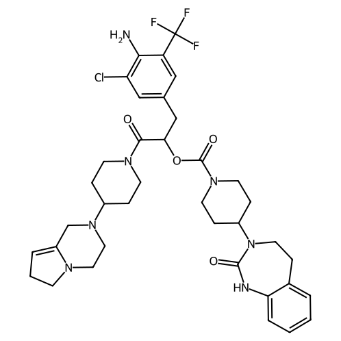 Nc1c(Cl)cc(CC(OC(=O)N2CCC(N3CCc4ccccc4NC3=O)CC2)C(=O)N2CCC(N3CCN4CCC=C4C3)CC2)cc1C(F)(F)F